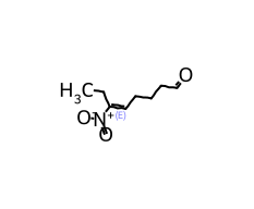 CC/C(=C\CCCC=O)[N+](=O)[O-]